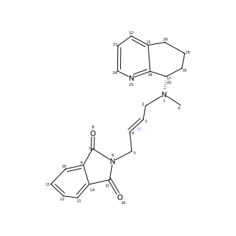 CN(C/C=C/CN1C(=O)c2ccccc2C1=O)[C@H]1CCCc2cccnc21